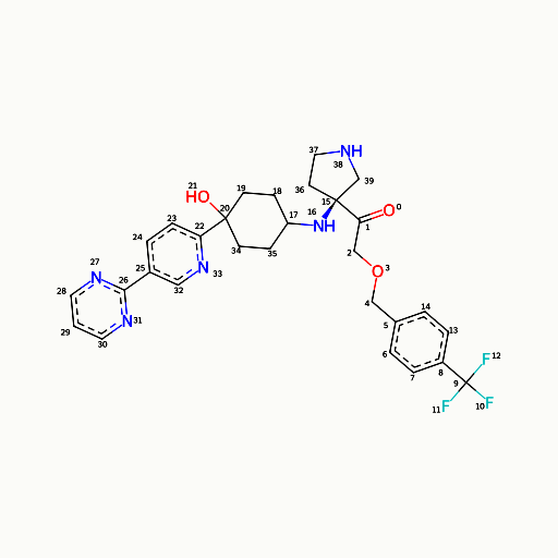 O=C(COCc1ccc(C(F)(F)F)cc1)[C@]1(NC2CCC(O)(c3ccc(-c4ncccn4)cn3)CC2)CCNC1